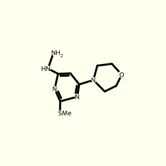 CSc1nc(NN)cc(N2CCOCC2)n1